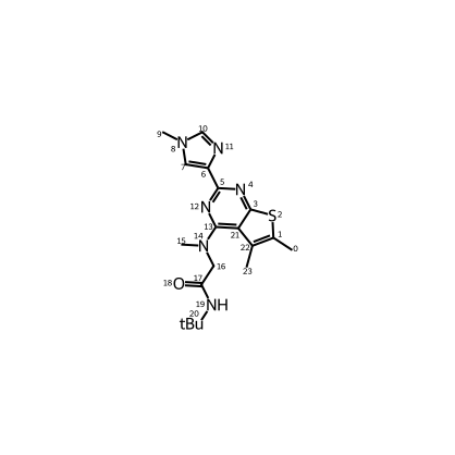 Cc1sc2nc(-c3cn(C)cn3)nc(N(C)CC(=O)NC(C)(C)C)c2c1C